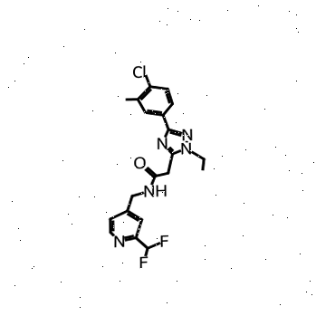 CCn1nc(-c2ccc(Cl)c(C)c2)nc1CC(=O)NCc1ccnc(C(F)F)c1